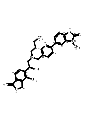 Cc1c(C(O)CN(CCCC(F)(F)F)Cc2ccc(-c3ccc4oc(=O)n(C)c4c3)nc2)ccc2c1COC2=O